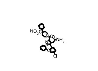 NC(=O)Cc1c(C(=O)N2CCC(C(=O)O)(c3ccccc3)CC2)nn(-c2ccccc2Cl)c1-c1ccc(Cl)cc1